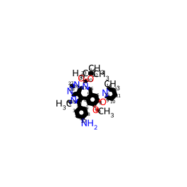 COc1cc2c(cc1Oc1cccc(C)n1)CN(C(=O)OC(C)(C)C)c1ncnc3c1c-2c(-c1ccc(N)cc1)n3C